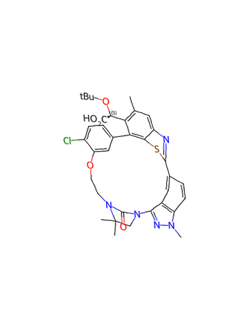 Cc1cc2nc3sc2c(c1[C@H](OC(C)(C)C)C(=O)O)-c1ccc(Cl)c(c1)OCCN1C(=O)N(CC1(C)C)c1nn(C)c2ccc-3cc12